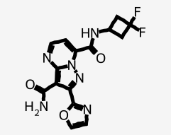 NC(=O)c1c(-c2ncco2)nn2c(C(=O)NC3CC(F)(F)C3)ccnc12